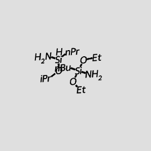 CCCC[Si](N)(OCC)OCC.CCC[SiH](N)OC(C)C